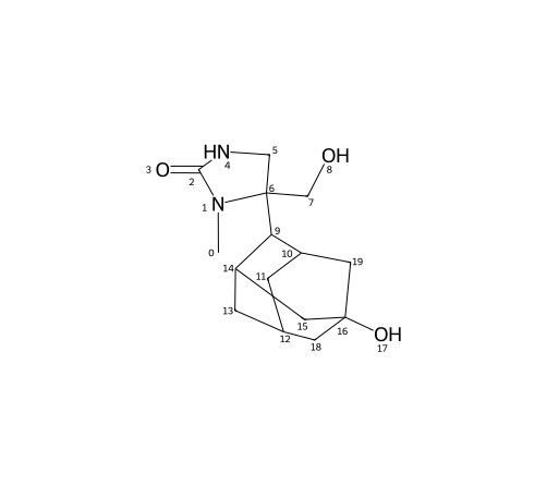 CN1C(=O)NCC1(CO)C1C2CC3CC1CC(O)(C3)C2